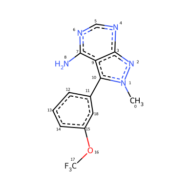 Cn1nc2ncnc(N)c2c1-c1cccc(OC(F)(F)F)c1